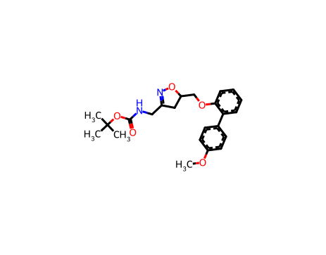 COc1ccc(-c2ccccc2OCC2CC(CNC(=O)OC(C)(C)C)=NO2)cc1